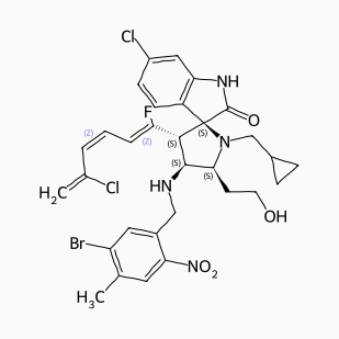 C=C(Cl)/C=C\C=C(/F)[C@H]1[C@H](NCc2cc(Br)c(C)cc2[N+](=O)[O-])[C@H](CCO)N(CC2CC2)[C@@]12C(=O)Nc1cc(Cl)ccc12